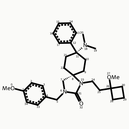 COc1ccc(CN2C[C@]3(CC[C@@](c4ccccc4)(N(C)C)CC3)N(CCC3(OC)CCC3)C2=O)cc1